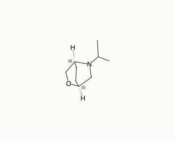 CC(C)N1C[C@@H]2CC[C@H]1CO2